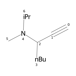 C#CC(CCCC)N(C)C(C)C